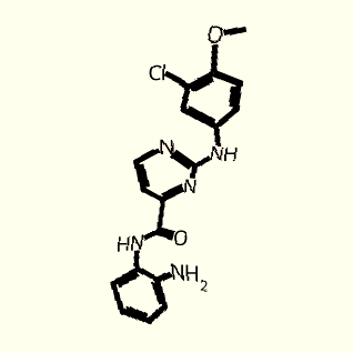 COc1ccc(Nc2nccc(C(=O)Nc3ccccc3N)n2)cc1Cl